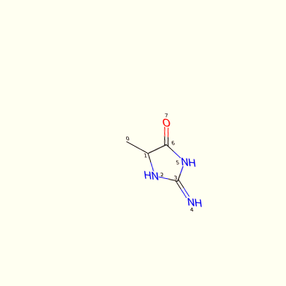 CC1NC(=N)NC1=O